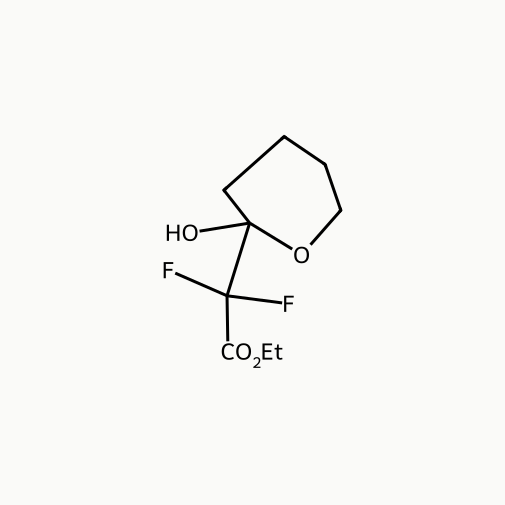 CCOC(=O)C(F)(F)C1(O)CCCCO1